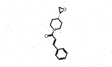 O=C(C=Cc1ccccc1)N1CCC([C@@H]2CO2)CC1